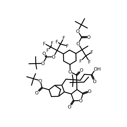 CCC(C)(C(=O)OC1CC(C(C)(OC(=O)OC(C)(C)C)C(F)(F)F)CC(C(OC(=O)OC(C)(C)C)(C(F)(F)F)C(F)(F)F)C1)C1C(=O)OC(=O)C1C1C2CC(C(=O)OC(C)(C)C)C(C2)C1CC(C)(C)CCC(=O)O